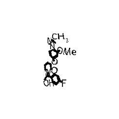 COc1cc(OC2CCCN(C(CO)c3ccc(F)cc3)C2=O)ccc1-n1cnc(C)c1